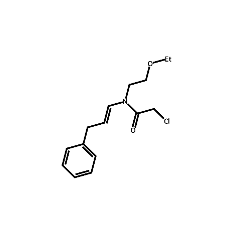 CCOCCN(C=CCc1ccccc1)C(=O)CCl